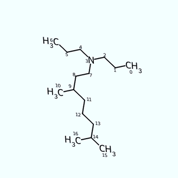 CCCN(CCC)CCC(C)CCCC(C)C